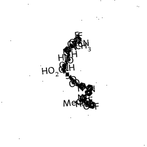 COc1ncc(-c2ccc3nccc(-c4ccc(COC(=O)OCCSSCC(NC(=O)CCC(=O)NCc5cc(C(=O)N[C@@H](C)C(=O)N6CC(F)(F)CC6C#N)ccn5)C(=O)O)nc4)c3c2)cc1NS(=O)(=O)c1ccc(F)cc1F